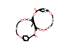 Cc1c2cc3c(c1OC(=O)c1ccc(cc1)OCCCCCCOCC3C)C(C)COCCCCCCOc1ccc(cc1)C(=O)O2